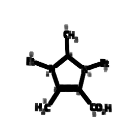 CCN1C(C)=C(C(=O)O)N(CC)C1C